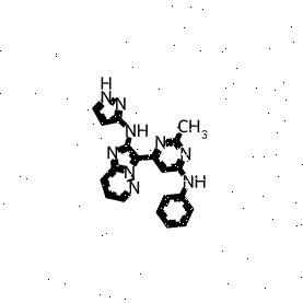 Cc1nc(Nc2ccccc2)cc(-c2c(Nc3cc[nH]n3)nc3cccnn23)n1